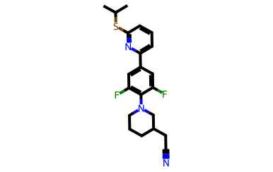 CC(C)Sc1cccc(-c2cc(F)c(N3CCCC(CC#N)C3)c(F)c2)n1